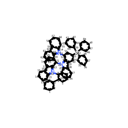 c1ccc(-c2ccccc2-n2c3ccccc3c3cccc(-n4c5ccccc5c5cc([Si](c6ccccc6)(c6ccccc6)c6ccccc6)cc(-n6c7ccccc7c7ccccc76)c54)c32)cc1